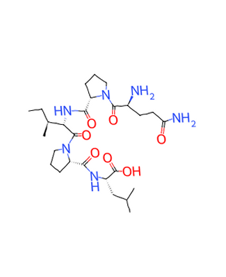 CC[C@H](C)[C@H](NC(=O)[C@@H]1CCCN1C(=O)[C@@H](N)CCC(N)=O)C(=O)N1CCC[C@H]1C(=O)N[C@@H](CC(C)C)C(=O)O